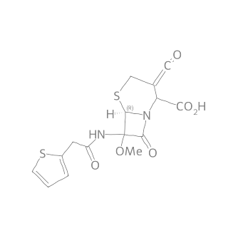 COC1(NC(=O)Cc2cccs2)C(=O)N2C(C(=O)O)C(=C=O)CS[C@@H]21